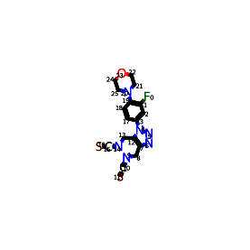 Fc1cc(-n2nnc(CN=C=S)c2CN=C=S)ccc1N1CCOCC1